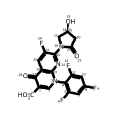 O=C(O)c1cn(-c2c(F)cc(F)cc2F)c2nc(N3C[C@@H](O)CC3=O)c(F)cc2c1=O